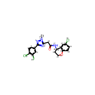 CCn1nc(-c2ccc(Cl)c(F)c2)nc1CC(=O)N[C@@H]1CCOc2ccc(Cl)cc21